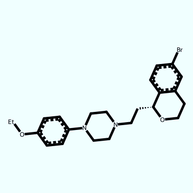 CCOc1ccc(N2CCN(CC[C@H]3OCCc4cc(Br)ccc43)CC2)cc1